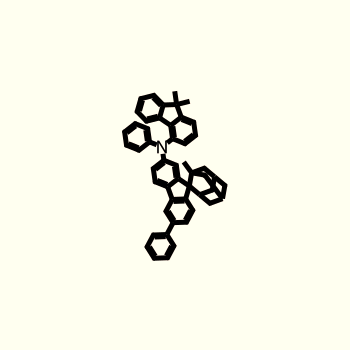 CC1(C)c2ccccc2-c2c(N(c3ccccc3)c3ccc4c(c3)C3(c5ccc(-c6ccccc6)cc5-4)C4CC5CC(C4)CC3(C)C5)cccc21